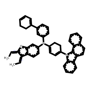 C/C=c1\c(=C/C)oc2cc(N(C3=CC=C(n4c5ccccc5c5ccc6ccccc6c54)CC3)c3cccc(C4=CC=CCC4)c3)ccc12